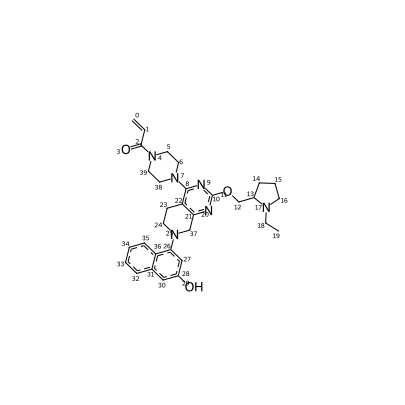 C=CC(=O)N1CCN(c2nc(OCC3CCCN3CC)nc3c2CCN(c2cc(O)cc4ccccc24)C3)CC1